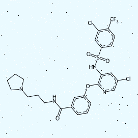 O=C(NCCCN1CCCC1)c1cccc(Oc2ncc(Cl)cc2NS(=O)(=O)c2ccc(C(F)(F)F)c(Cl)c2)c1